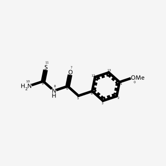 COc1ccc(CC(=O)NC(N)=S)cc1